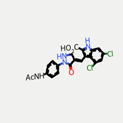 CC(=O)Nc1ccc(N2NCC(=Cc3c(C(=O)O)[nH]c4cc(Cl)cc(Cl)c34)C2=O)cc1